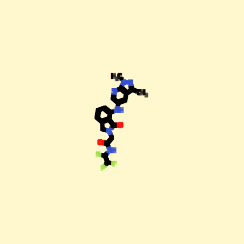 Cc1nn(C)c2ncc(Nc3cccc4c3C(=O)N(CC(=O)NC(F)C(F)F)C4)cc12